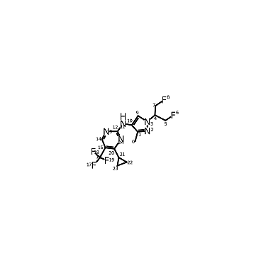 Cc1nn(C(CF)CF)cc1Nc1ncc(C(F)(F)F)c(C2CC2)n1